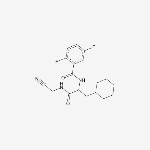 N#CCNC(=O)C(CC1CCCCC1)NC(=O)c1cc(F)ccc1F